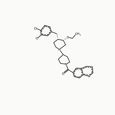 CCO[C@@H]1CN(C2CCN(C(=O)c3ccc4ncccc4c3)CC2)CC[C@@H]1Cc1ccc(Cl)c(Cl)c1